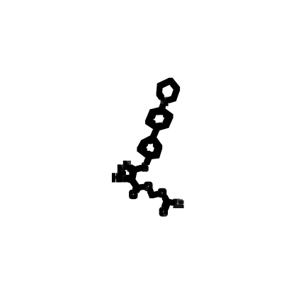 CCC(=O)OCOC(=O)c1[nH]nnc1Sc1ccc(-c2ccc(N3CCCCC3)cc2)cc1